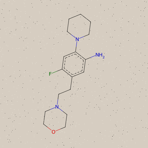 Nc1cc(CCN2CCOCC2)c(F)cc1N1CCCCC1